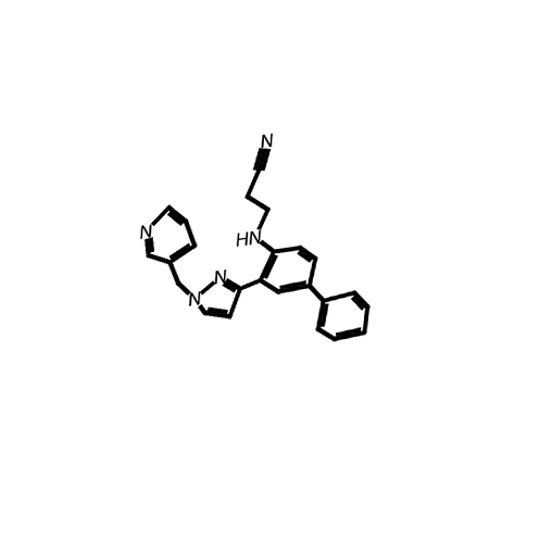 N#CCCNc1ccc(-c2ccccc2)cc1-c1ccn(Cc2cccnc2)n1